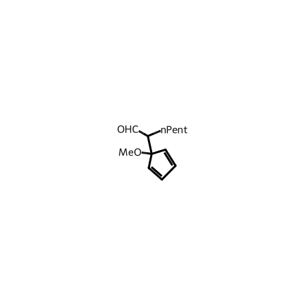 CCCCCC(C=O)C1(OC)C=CC=C1